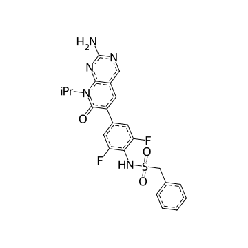 CC(C)n1c(=O)c(-c2cc(F)c(NS(=O)(=O)Cc3ccccc3)c(F)c2)cc2cnc(N)nc21